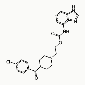 O=C(Nc1cccc2[nH]cnc12)OCCN1CCC(C(=O)c2ccc(Cl)cc2)CC1